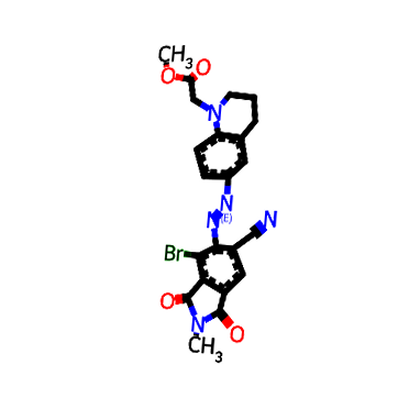 COC(=O)CN1CCCc2cc(/N=N/c3c(C#N)cc4c(c3Br)C(=O)N(C)C4=O)ccc21